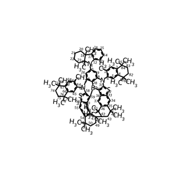 Cc1cc2c(cc1N1c3cc(N4c5ccccc5C5(C)CCCCC45C)cc4c3B3c5c1sc1cc6c(cc51)C(C)(C)C(CC6(C)C)C1(C)CCC(C)(C)c5cc6sc(c3c6cc51)N4c1cc3c(cc1C)C(C)(C)CCC3(C)C)C(C)(C)CCC2(C)C